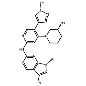 CC(C)n1cc(-c2cnc(Nc3ccc4c(C#N)nn(C(C)C)c4n3)cc2N2CCC[C@H](N)C2)cn1